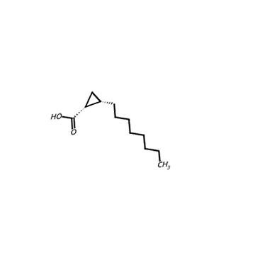 CCCCCCCC[C@H]1C[C@H]1C(=O)O